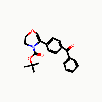 CC(C)(C)OC(=O)N1CCOC=C1c1ccc(C(=O)c2ccccc2)cc1